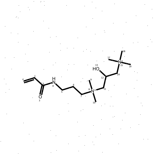 C=CC(=O)NCCC[N+](C)(C)CC(O)C[N+](C)(C)C